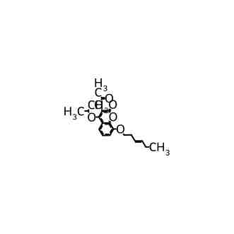 CCC=CCCOc1cccc2c(OC(C)C)c(OC(C)=O)c(=O)oc12